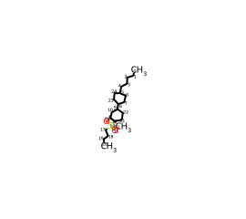 CCCCCC1CCC(C2CCC(C)(S(=O)(=O)CCCC)CC2)CC1